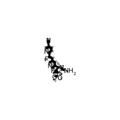 COC(=O)[C@]12CC1[C@@](C)(c1cc(/C=C(\F)c3ccc(C#N)cn3)cnc1F)N=C(N)S2